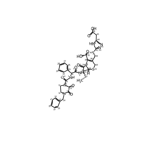 CS[C@@]1(NC(=O)C(NC(=O)N2CCN(Cc3ccccc3)C(=O)C2=O)c2ccccc2)C(=O)N2C(C(=O)O)=C(CSc3nnc(CC(=O)O)[nH]3)CS[C@@H]21